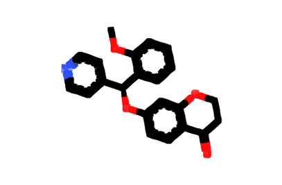 COc1ccccc1[C@@H](Oc1ccc2c(c1)OCCC2=O)c1ccncc1